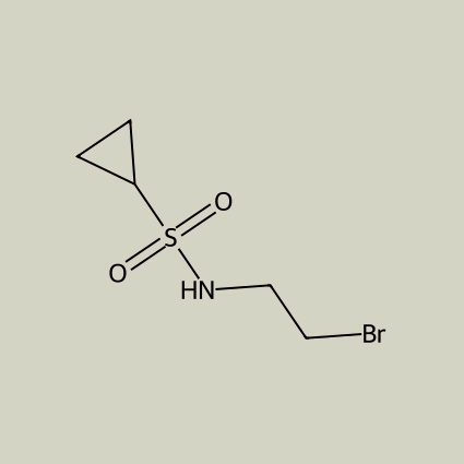 O=S(=O)(NCCBr)C1CC1